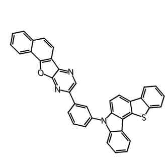 c1cc(-c2cnc3c(n2)oc2c4ccccc4ccc32)cc(-n2c3ccccc3c3c4sc5ccccc5c4ccc32)c1